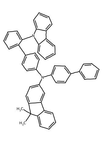 CC1(C)c2ccccc2-c2cc(N(c3ccc(-c4ccccc4)cc3)c3ccc(-c4ccccc4-n4c5ccccc5c5ccccc54)cc3)ccc21